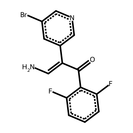 N/C=C(/C(=O)c1c(F)cccc1F)c1cncc(Br)c1